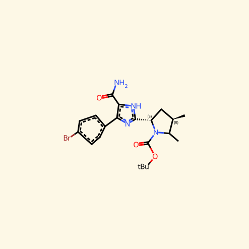 CC1[C@H](C)C[C@@H](c2nc(-c3ccc(Br)cc3)c(C(N)=O)[nH]2)N1C(=O)OC(C)(C)C